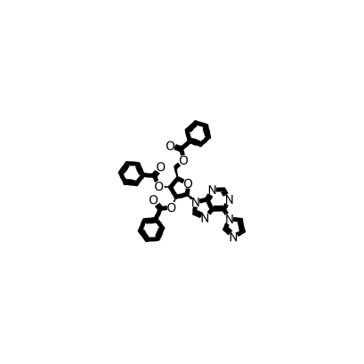 O=C(OC[C@H]1O[C@@H](n2cnc3c(-n4ccnc4)ncnc32)[C@H](OC(=O)c2ccccc2)[C@@H]1OC(=O)c1ccccc1)c1ccccc1